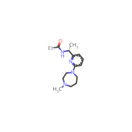 CCC(=O)N[C@H](C)c1cccc(N2CCCN(C)CC2)n1